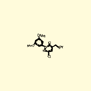 COc1cc(OC)cc(-n2nc(Cl)cc(CC(C)C)c2=O)c1